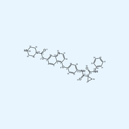 O=C(Oc1ccc2c(Oc3ccc(NC(=O)C4(C(=O)Nc5ccccc5)CC4)cc3)ccnc2c1)N1CCNCC1